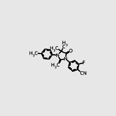 C=C1N(c2ccc(C#N)c(F)c2)C(=O)C(C)(C)N1c1ccc(C)cc1